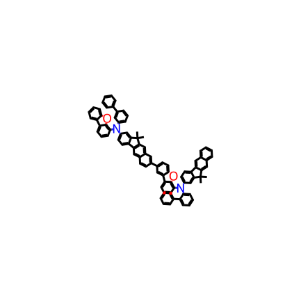 CC1(C)c2cc(N(c3ccccc3-c3ccccc3)c3cccc4c3oc3ccc(-c5ccc6cc7c(cc6c5)C(C)(C)c5cc(N(c6cccc(-c8ccccc8)c6)c6cccc8c6oc6ccccc68)ccc5-7)cc34)ccc2-c2cc3ccccc3cc21